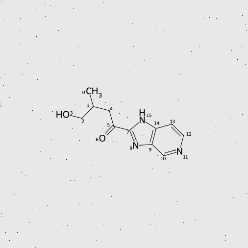 CC(CO)CC(=O)c1nc2cnccc2[nH]1